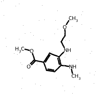 CNc1ccc(C(=O)OC)cc1NCCOC